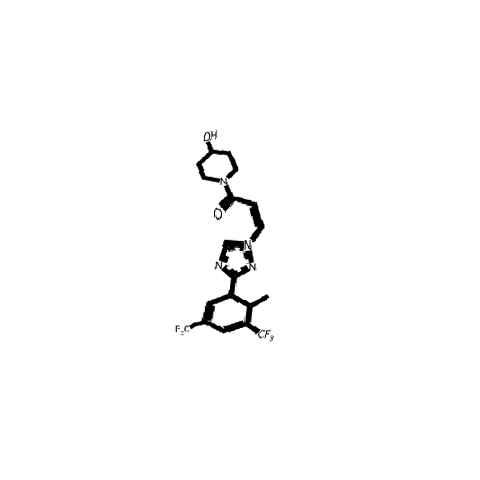 CC1C(C(F)(F)F)=CC(C(F)(F)F)=CC1c1ncn(/C=C\C(=O)N2CCC(O)CC2)n1